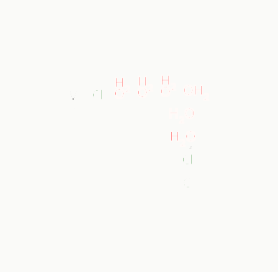 O.O.O.O.O.O.[Cl-].[Cl-].[Cl-].[V+3]